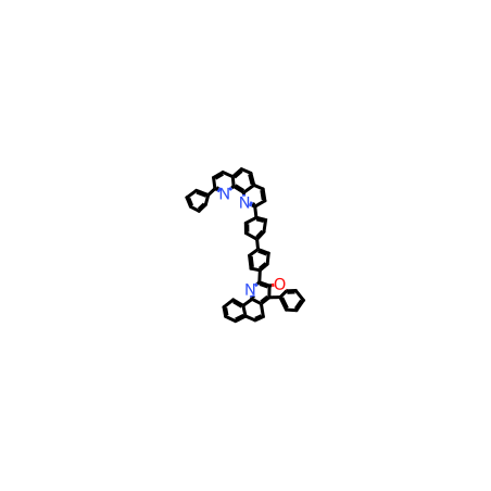 c1ccc(-c2ccc3ccc4ccc(-c5ccc(-c6ccc(-c7nc8c9ccccc9ccc8c8c7oc7ccccc78)cc6)cc5)nc4c3n2)cc1